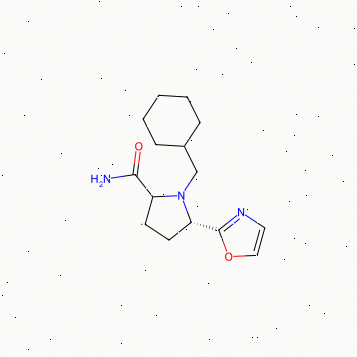 NC(=O)C1[CH]C[C@@H](c2ncco2)N1CC1CCCCC1